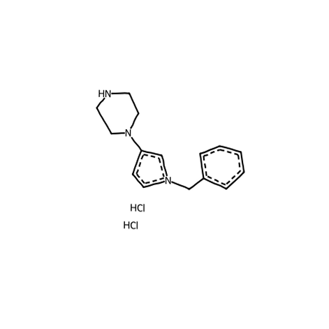 Cl.Cl.c1ccc(Cn2ccc(N3CCNCC3)c2)cc1